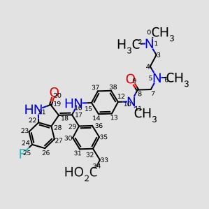 CN(C)CCN(C)CC(=O)N(C)c1ccc(N/C(=C2\C(=O)Nc3cc(F)ccc32)c2ccc(CC(=O)O)cc2)cc1